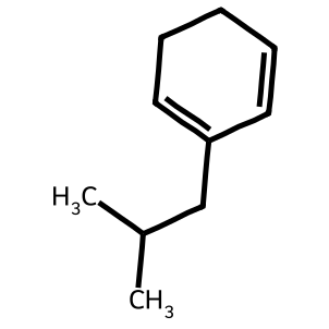 CC(C)CC1=CCCC=C1